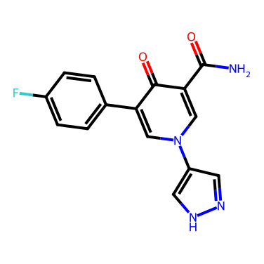 NC(=O)c1cn(-c2cn[nH]c2)cc(-c2ccc(F)cc2)c1=O